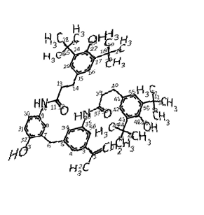 C=C(C)c1cc(Cc2cc(NC(=O)CCc3cc(C(C)(C)C)c(O)c(C(C)(C)C)c3)ccc2O)cc(NC(=O)CCc2cc(C(C)(C)C)c(O)c(C(C)(C)C)c2)c1